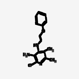 Cc1nc(Cl)c(N)c(NCCOc2ccccc2)c1C